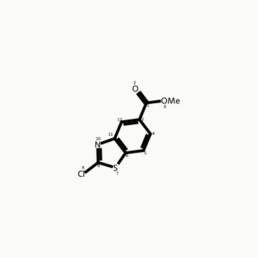 COC(=O)c1ccc2sc(Cl)nc2c1